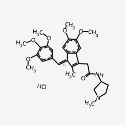 COc1cc2c(cc1OC)/C(=C\c1cc(OC)c(OC)c(OC)c1)C(C)=C2CC(=O)NC1CCN(C)C1.Cl